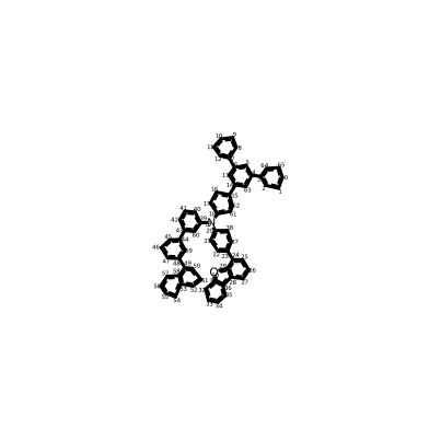 c1ccc(-c2cc(-c3ccccc3)cc(-c3ccc(N(c4ccc(-c5cccc6c5oc5ccccc56)cc4)c4cccc(-c5cccc(-c6cccc7ccccc67)c5)c4)cc3)c2)cc1